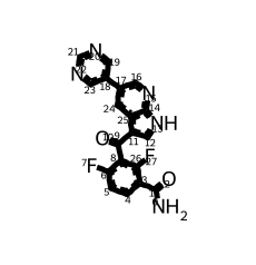 NC(=O)c1ccc(F)c(C(=O)c2c[nH]c3ncc(-c4cncnc4)cc23)c1F